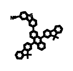 CC1(C)c2ccccc2-c2ccc(-c3c4ccccc4c(-c4ccc5c(c4)C(C)(C)c4ccccc4-5)c4cc(-c5ccc6sc7ccc(C#N)cc7c6c5)ccc34)cc21